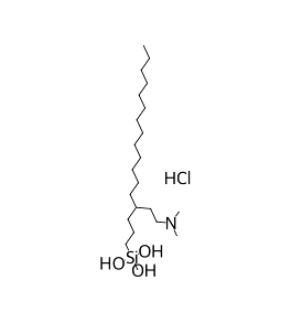 CCCCCCCCCCCCCC(CCC[Si](O)(O)O)CCN(C)C.Cl